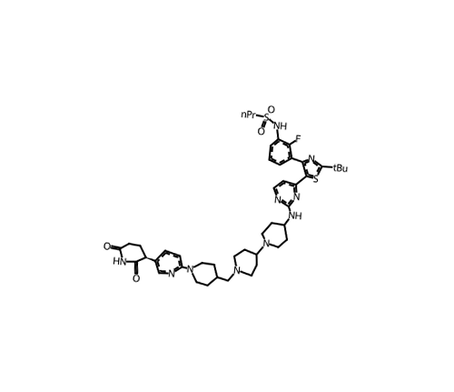 CCCS(=O)(=O)Nc1cccc(-c2nc(C(C)(C)C)sc2-c2ccnc(NC3CCN(C4CCN(CC5CCN(c6ccc([C@@H]7CCC(=O)NC7=O)cn6)CC5)CC4)CC3)n2)c1F